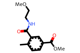 COCCNC(=O)c1cc(C(=O)OC)ccc1C